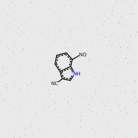 N#Cc1c[nH]c2c(N=O)cccc12